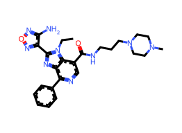 CCn1c(-c2nonc2N)nc2c(-c3ccccc3)ncc(C(=O)NCCCN3CCN(C)CC3)c21